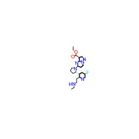 CCNCCc1ncc(F)cc1[C@@H]1CCCN1c1ccn2ncc(C(=O)OCC)c2n1